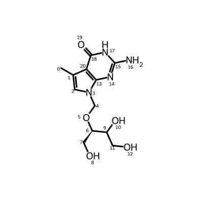 Cc1cn(CO[C@H](CO)C(O)CO)c2nc(N)[nH]c(=O)c12